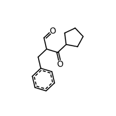 O=CC(Cc1ccccc1)C(=O)C1CCCC1